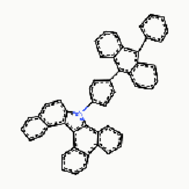 c1ccc(-c2c3ccccc3c(-c3ccc(-n4c5ccc6ccccc6c5c5c6ccccc6c6ccccc6c54)cc3)c3ccccc23)cc1